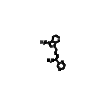 Cn1cc(C=NN=C(N)c2cnccn2)c2ccccc21